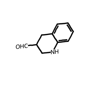 O=CC1CNc2ccccc2C1